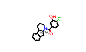 O=C(c1ccc(Cl)c(O)c1)N1CCCC2c3ccccc3C[C@@H]21